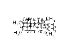 CC1C2C3C4C5C6C(C)C7(C)C8(C)C(C)C9C%10C%11C%12CC%13%14C(C)(C)C1C2%13C31C%12%14C%112C%103C98C67C53C412